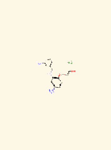 Cl.Nc1cccc(CNc2cc(N)ccc2OCCO)c1